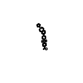 CC(=O)c1ccc(S(=O)(=O)N2CCN(c3ccc4c(c3)CCN(C3CCCC3)CC4)CC2)cc1